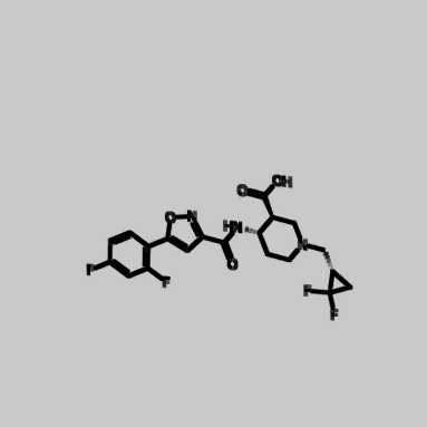 O=C(N[C@H]1CCN(C[C@@H]2CC2(F)F)C[C@@H]1C(=O)O)c1cc(-c2ccc(F)cc2F)on1